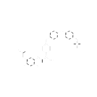 CCCCN(C(=O)Nc1cc(CC(N)=O)c(F)cc1F)C1CCN(Cc2ccc(Oc3ccc(NS(C)(=O)=O)cc3)cc2)CC1